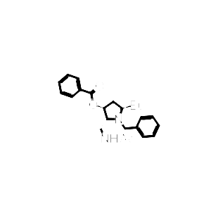 CC[C@@H]1C[C@H](OC(=O)c2ccccc2)[C@@H](CNC(C)=O)N1Cc1ccccc1